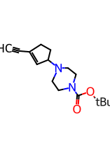 C#CC1=CC(N2CCN(C(=O)OC(C)(C)C)CC2)CC1